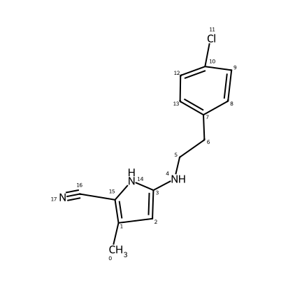 Cc1cc(NCCc2ccc(Cl)cc2)[nH]c1C#N